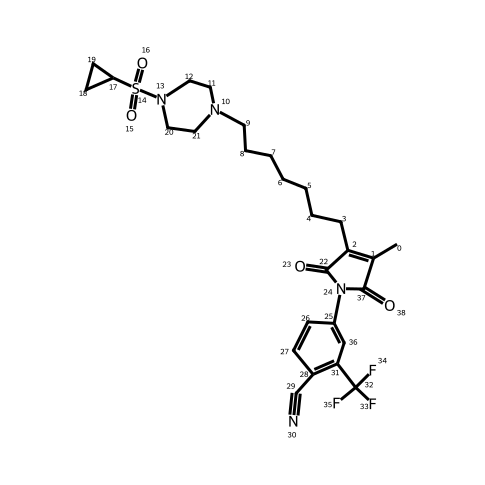 CC1=C(CCCCCCCN2CCN(S(=O)(=O)C3CC3)CC2)C(=O)N(c2ccc(C#N)c(C(F)(F)F)c2)C1=O